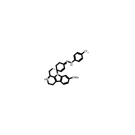 COc1ccc2c3c4n(c2c1)[C@@]1(C=C/C(=N\Nc2ccc(C(F)(F)F)cc2)CC1)CC[C@@H]4NCC3